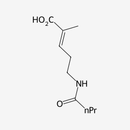 CCCC(=O)NCCC=C(C)C(=O)O